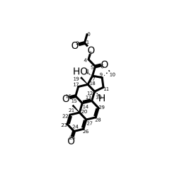 CC(=O)OCC(=O)[C@@]1(O)[C@H](C)C[C@H]2C3=C(C(=O)C[C@@]21C)[C@@]1(C)C=CC(=O)C=C1C=C3